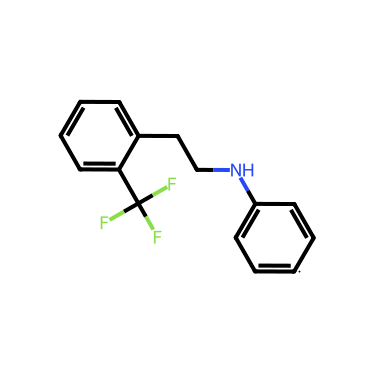 FC(F)(F)c1ccccc1CCNc1cc[c]cc1